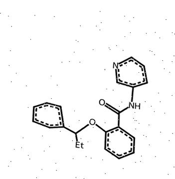 CCC(Oc1ccccc1C(=O)Nc1cccnc1)c1ccccc1